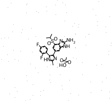 CS(=O)(=O)O.Cc1nc(-c2cc(S(=O)(=O)C(C)C)c3nc(N)[nH]c3c2)c(-c2ccc(F)cc2F)[nH]1